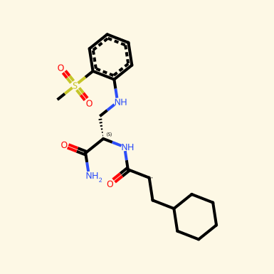 CS(=O)(=O)c1ccccc1NC[C@H](NC(=O)[CH]CC1CCCCC1)C(N)=O